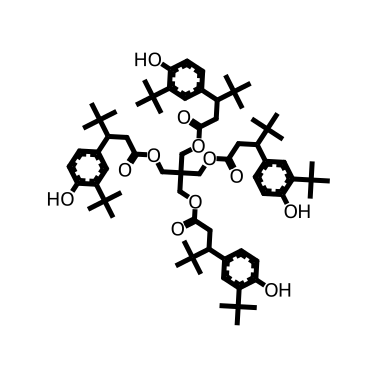 CC(C)(C)c1cc(C(CC(=O)OCC(COC(=O)CC(c2ccc(O)c(C(C)(C)C)c2)C(C)(C)C)(COC(=O)CC(c2ccc(O)c(C(C)(C)C)c2)C(C)(C)C)COC(=O)CC(c2ccc(O)c(C(C)(C)C)c2)C(C)(C)C)C(C)(C)C)ccc1O